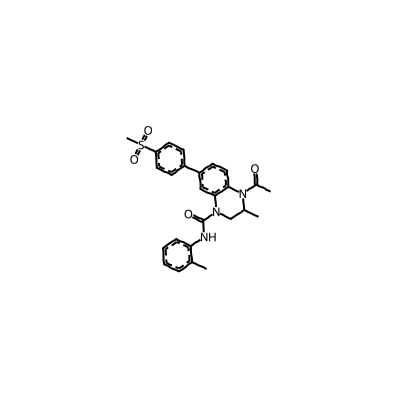 CC(=O)N1c2ccc(-c3ccc(S(C)(=O)=O)cc3)cc2N(C(=O)Nc2ccccc2C)CC1C